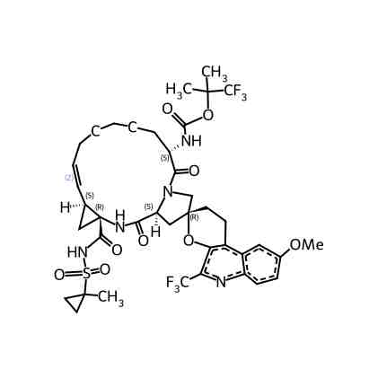 COc1ccc2nc(C(F)(F)F)c3c(c2c1)CC[C@]1(C[C@H]2C(=O)N[C@]4(C(=O)NS(=O)(=O)C5(C)CC5)C[C@H]4/C=C\CCCCC[C@H](NC(=O)OC(C)(C)C(F)(F)F)C(=O)N2C1)O3